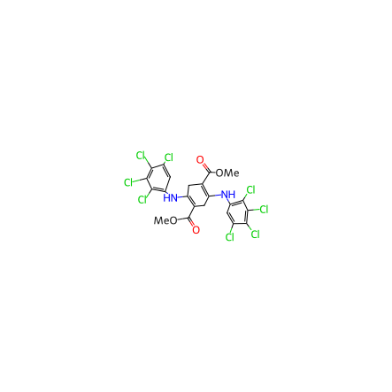 COC(=O)C1=C(Nc2cc(Cl)c(Cl)c(Cl)c2Cl)CC(C(=O)OC)=C(Nc2cc(Cl)c(Cl)c(Cl)c2Cl)C1